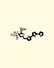 C[S+]([O-])C(C)(CCCc1ccc(-c2ccc(-c3cccs3)s2)s1)C(=O)NO